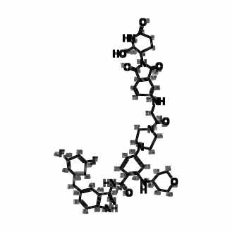 O=C1CCC(N2C(=O)c3ccc(NCC(=O)N4CCN(c5ccc(C(=O)Nc6n[nH]c7ccc(Cc8cc(F)cc(F)c8)cc67)c(NC6CCOCC6)c5)CC4)cc3C2=O)C(O)N1